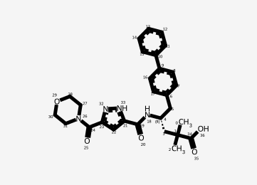 CC(C)(C[C@@H](Cc1ccc(-c2ccccc2)cc1)NC(=O)c1cc(C(=O)N2CCOCC2)n[nH]1)C(=O)O